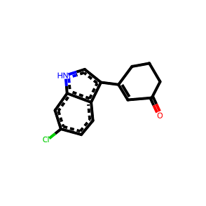 O=C1C=C(c2c[nH]c3cc(Cl)ccc23)CCC1